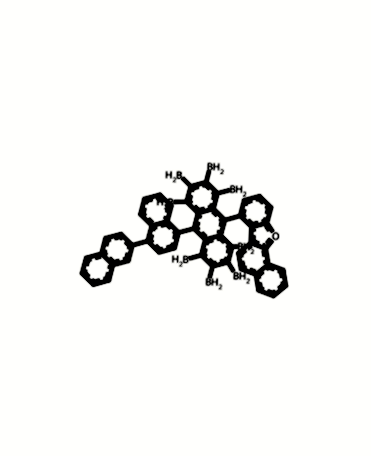 Bc1c(B)c(B)c2c(-c3cccc4oc5c6ccccc6ccc5c34)c3c(B)c(B)c(B)c(B)c3c(-c3ccc(-c4ccc5ccccc5c4)c4ccccc34)c2c1B